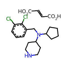 Clc1cccc(CN(C2CCCC2)C2CCNCC2)c1Cl.O=C(O)C=CC(=O)O